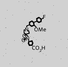 COCc1cc(CN2CCC3(CC2)CN(c2ccc(C(=O)O)cc2)C(=O)O3)ccc1-c1ccc(F)cc1